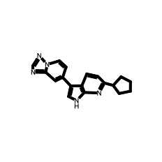 c1nc2cc(-c3c[nH]c4nc(C5CCCC5)ccc34)ccn2n1